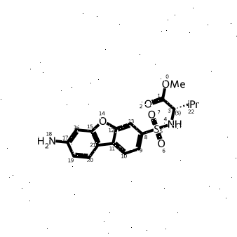 COC(=O)[C@@H](NS(=O)(=O)c1ccc2c(c1)oc1cc(N)ccc12)C(C)C